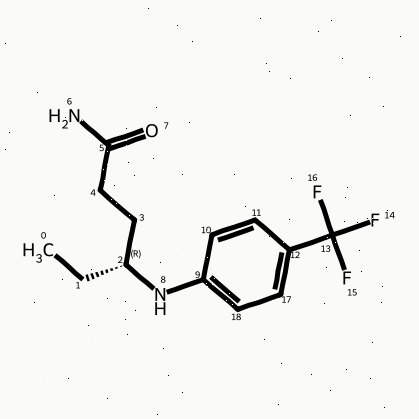 CC[C@H](CCC(N)=O)Nc1ccc(C(F)(F)F)cc1